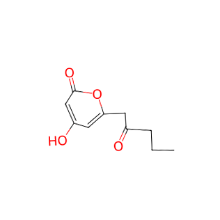 CCCC(=O)Cc1cc(O)cc(=O)o1